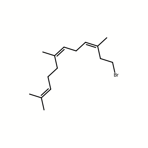 CC(C)=CCC/C(C)=C\C/C=C(/C)CCBr